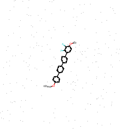 CCCCCOc1ccc(-c2ccc(-c3ccc(-c4ccc(OCC)c(F)c4F)cc3)cc2)cc1